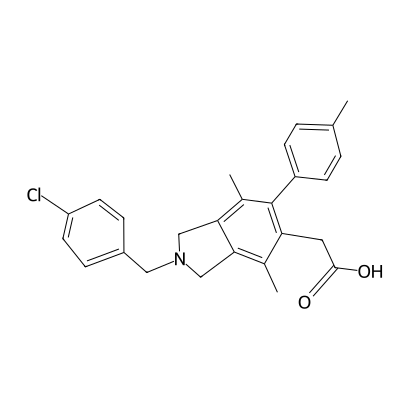 Cc1ccc(-c2c(C)c3c(c(C)c2CC(=O)O)CN(Cc2ccc(Cl)cc2)C3)cc1